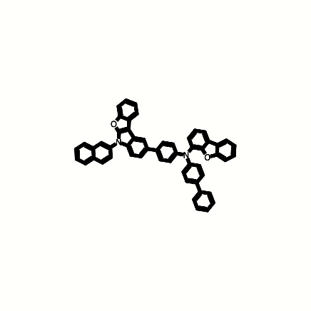 c1ccc(-c2ccc(N(c3ccc(-c4ccc5c(c4)c4c6ccccc6oc4n5-c4ccc5ccccc5c4)cc3)c3cccc4c3oc3ccccc34)cc2)cc1